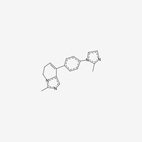 Cc1nccn1-c1ccc(C2=CCCn3c2cnc3C)cc1